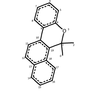 CC1(C)Oc2ccccc2-c2ccc3ccccc3c21